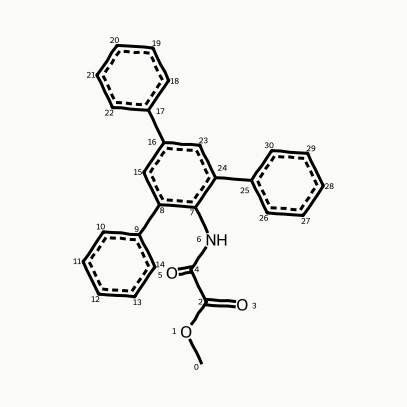 COC(=O)C(=O)Nc1c(-c2ccccc2)cc(-c2ccccc2)cc1-c1ccccc1